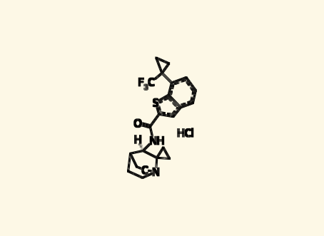 Cl.O=C(N[C@@H]1C2CCN(CC2)C12CC2)c1cc2cccc(C3(C(F)(F)F)CC3)c2s1